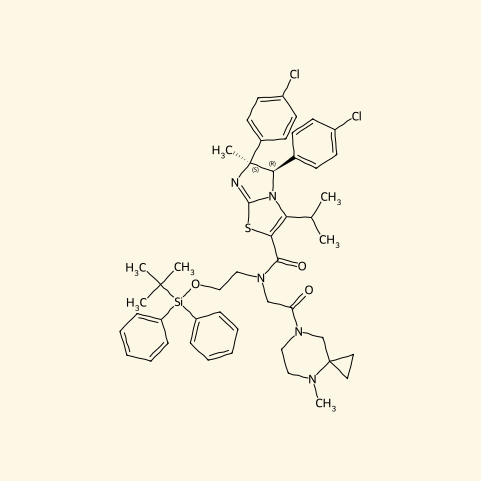 CC(C)C1=C(C(=O)N(CCO[Si](c2ccccc2)(c2ccccc2)C(C)(C)C)CC(=O)N2CCN(C)C3(CC3)C2)SC2=N[C@@](C)(c3ccc(Cl)cc3)[C@@H](c3ccc(Cl)cc3)N21